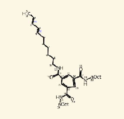 C/C=C/C=C/CCCCCCNC(=O)c1cc(C(=O)NCCCCCCCC)cc(C(=O)NCCCCCCCC)c1